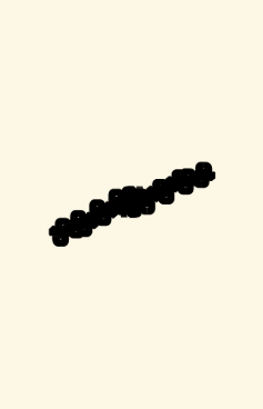 C=CC(=O)OCCOC(=O)Oc1ccc(C(=O)Oc2ccc(C(=O)O[C@@H]3CO[C@@H]4[C@H]3OC[C@H]4OC(=O)c3ccc(OC(=O)c4ccc(OC(=O)OCCOC(=O)C=C)cc4)cc3)cc2)cc1